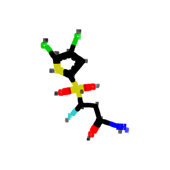 NC(=O)CC(F)S(=O)(=O)c1cc(Cl)c(Cl)s1